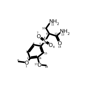 COc1ccc(S(=O)(=O)C(CN)C(N)=O)cc1OC